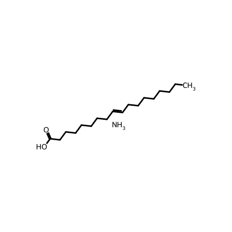 CCCCCCCC/C=C/CCCCCCCC(=O)O.N